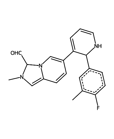 Cc1cc(C2NC=CC=C2C2=CN3C(=CN(C)C3C=O)C=C2)ccc1F